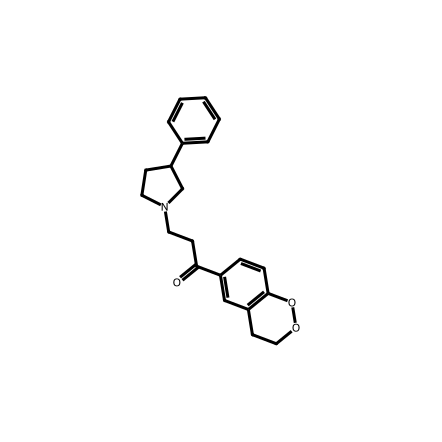 O=C(CCN1CCC(c2ccccc2)C1)c1ccc2c(c1)CCOO2